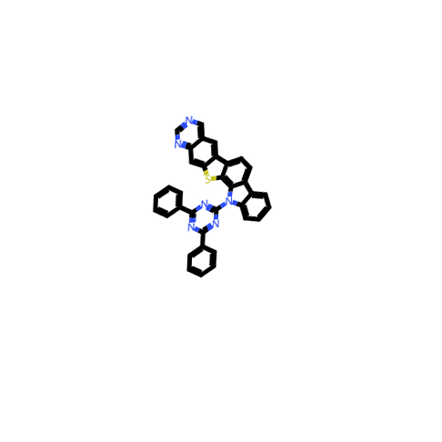 c1ccc(-c2nc(-c3ccccc3)nc(-n3c4ccccc4c4ccc5c6cc7cncnc7cc6sc5c43)n2)cc1